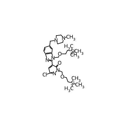 CN1CCN(Cc2ccc3nc(-c4cc(Cl)nn(COCC[Si](C)(C)C)c4=O)n(COCC[Si](C)(C)C)c3c2)CC1